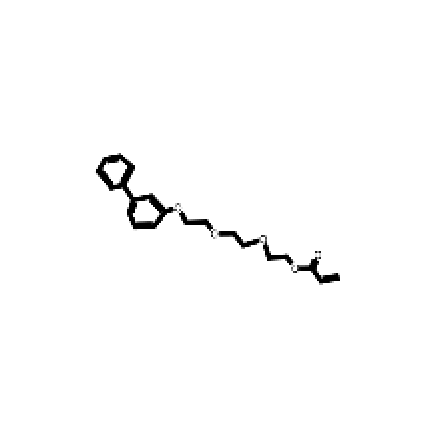 C=CC(=O)OCCOCCOCCOc1cccc(-c2ccccc2)c1